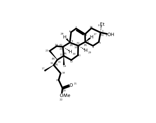 CC[C@]1(O)CC[C@H]2C(=CC[C@@H]3[C@@H]2CC[C@]2(C)[C@@H]([C@H](C)CCC(=O)OC)CC[C@@H]32)C1